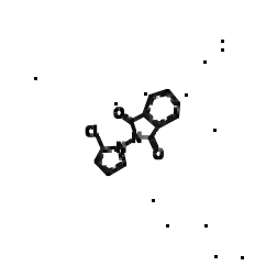 O=C1c2ccccc2C(=O)N1n1cccc1Cl